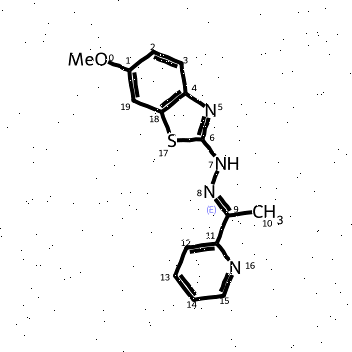 COc1ccc2nc(N/N=C(\C)c3ccccn3)sc2c1